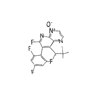 C[C](c1c(-c2c(F)cc(F)cc2F)c(F)nc2c1ncc[n+]2[O-])C(C)(C)C